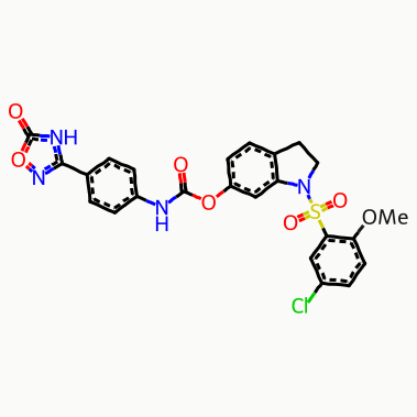 COc1ccc(Cl)cc1S(=O)(=O)N1CCc2ccc(OC(=O)Nc3ccc(-c4noc(=O)[nH]4)cc3)cc21